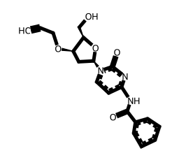 C#CCO[C@@H]1C[C@H](n2ccc(NC(=O)c3ccccc3)nc2=O)O[C@@H]1CO